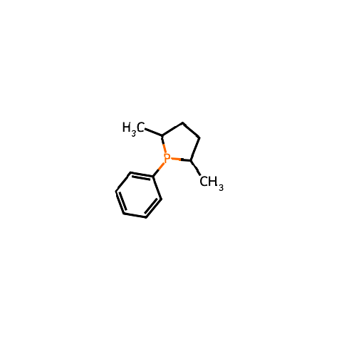 CC1CCC(C)P1c1ccccc1